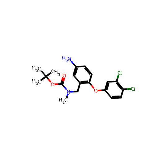 CN(Cc1cc(N)ccc1Oc1ccc(Cl)c(Cl)c1)C(=O)OC(C)(C)C